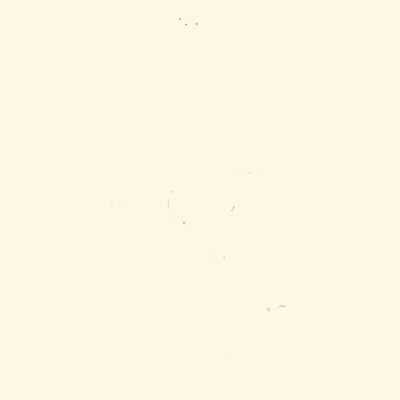 CCCCC/C=C\C/C=C\C/C=C\C/C=C\CCCCCC(=O)O[C@H](COC(=O)CCCCCCC/C=C\CCCCCCCCC)COP(=O)(O)OC[C@@H](O)CO